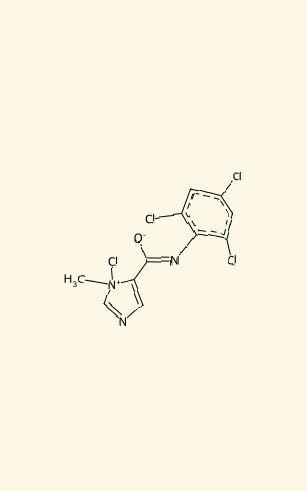 C[N+]1(Cl)C=NC=C1C([O-])=Nc1c(Cl)cc(Cl)cc1Cl